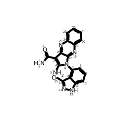 NC(=O)c1c(N)n(-c2cccc3[nH]nc(Cl)c23)c2nc3ccccc3nc12